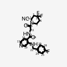 N#C[C@@H]1CC(F)(F)CCN1C(=O)CNC(=O)c1ccncc1NCc1ccc(F)cc1